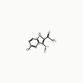 NC(=O)c1[nH]c2ccc(Cl)cc2c1P=O